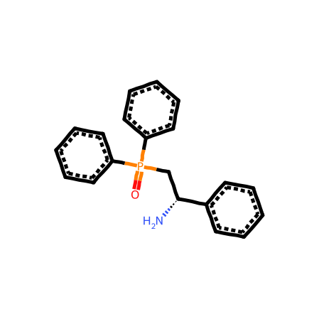 N[C@H](CP(=O)(c1ccccc1)c1ccccc1)c1ccccc1